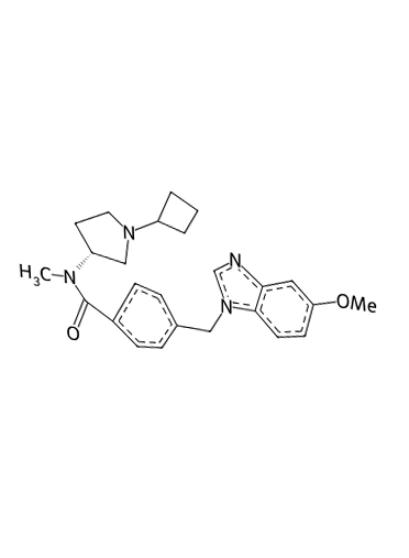 COc1ccc2c(c1)ncn2Cc1ccc(C(=O)N(C)[C@@H]2CCN(C3CCC3)C2)cc1